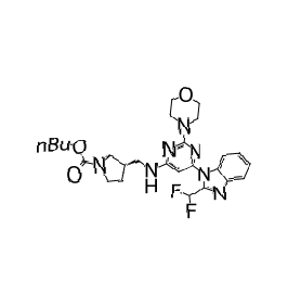 CCCCOC(=O)N1CC[C@H](CNc2cc(-n3c(C(F)F)nc4ccccc43)nc(N3CCOCC3)n2)C1